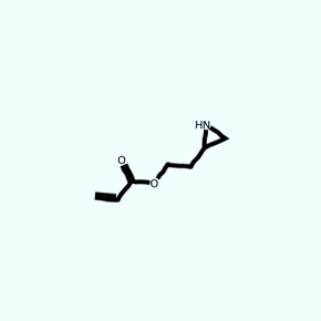 C=CC(=O)OCCC1CN1